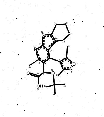 Cc1noc(C)c1-c1c(C(OC(C)(C)C)C(=O)O)c(C)nc2sc3c(c12)CCCC3